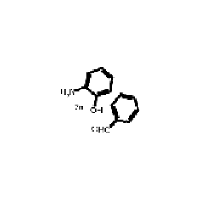 Nc1ccccc1O.O=Cc1ccccc1.[Zn]